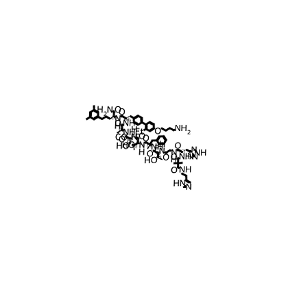 CCc1cc(OCCCCN)ccc1-c1ccc(C[C@H](NC(=O)[C@H](CC(=O)O)NC(=O)[C@H](CO)NC(=O)[C@@H](NC(=O)[C@](C)(Cc2ccccc2F)NC(=O)[C@@H](NC(=O)CNC(=O)[C@H](Cc2nn[nH]n2)NC(=O)C(C)(C)C(=O)NCCc2cnc[nH]2)[C@@H](C)O)[C@@H](C)O)C(=O)N[C@@H](CCCc2cc(C)cc(C)c2)C(N)=O)cc1